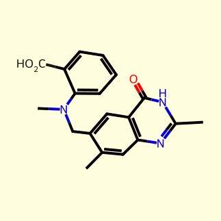 Cc1nc2cc(C)c(CN(C)c3ccccc3C(=O)O)cc2c(=O)[nH]1